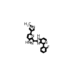 Cn1cc(-c2ccc3[nH]nc(-c4nc5c(-c6ccccc6F)nccc5[nH]4)c3n2)cn1